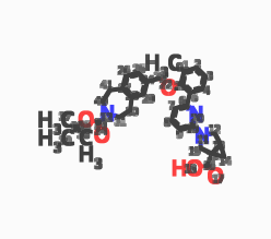 Cc1cccc(-c2cccc(N3CC4C[C@]4(C(=O)O)C3)n2)c1OCc1ccc2c(c1)CCN(C(=O)OC(C)(C)C)CC2